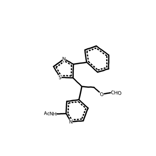 CC(=O)Nc1cc(C(COC=O)c2scnc2-c2ccccc2)ccn1